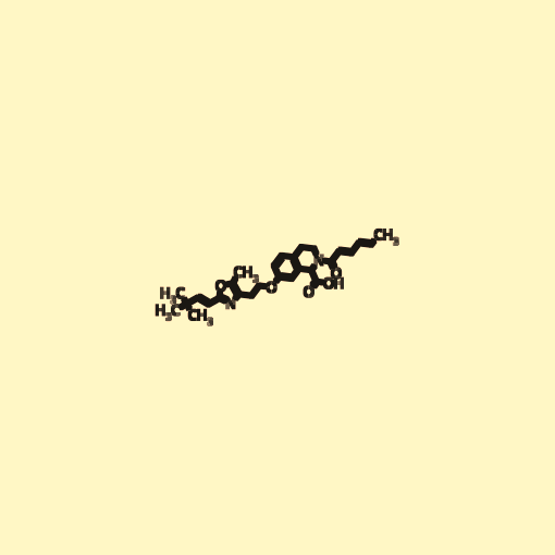 CC=CC=CC(=O)N1CCc2ccc(OCCc3nc(/C=C/C(C)(C)C)oc3C)cc2C1C(=O)O